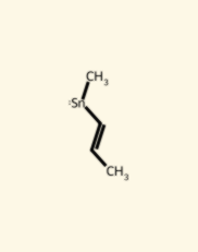 CC=[CH][Sn][CH3]